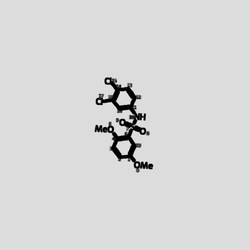 COc1ccc(OC)c(S(=O)(=O)Nc2ccc(Cl)c(Cl)c2)c1